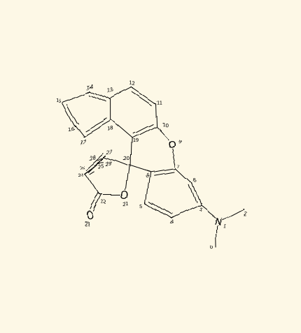 CN(C)c1ccc2c(c1)Oc1ccc3ccccc3c1C21OC(=O)c2ccccc21